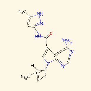 Cc1cc(NC(=O)c2cn(C34CC(C3)[C@H]4C)c3ncnc(N)c23)n[nH]1